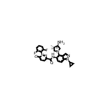 C[C@H]1CN(c2c(NC(=O)c3ccc(=O)n(-c4c(F)cccc4F)n3)ccc3c2cnn3C2CC2)C[C@@H]1N